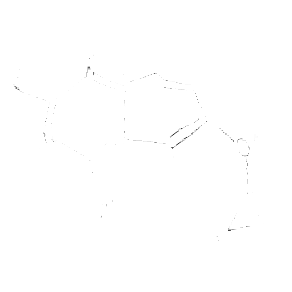 Cc1nc(S)c2cc(OC3CC3)ccc2n1